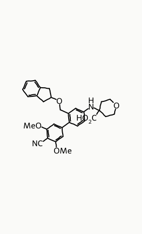 COc1cc(-c2ccc(NC3(C(=O)O)CCOCC3)cc2COC2Cc3ccccc3C2)cc(OC)c1C#N